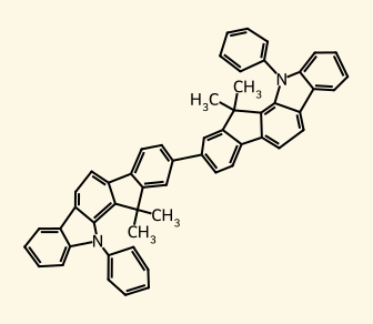 CC1(C)c2cc(-c3ccc4c(c3)C(C)(C)c3c-4ccc4c5ccccc5n(-c5ccccc5)c34)ccc2-c2ccc3c4ccccc4n(-c4ccccc4)c3c21